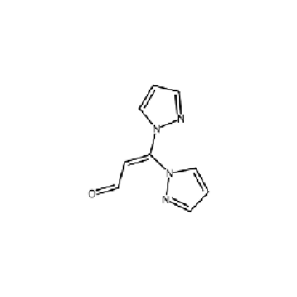 O=CC=C(n1cccn1)n1cccn1